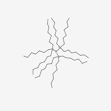 CCCCCCC[Si](CCCCCCC)(CCCCCCC)P([Si](CCCCCCC)(CCCCCCC)CCCCCCC)[Si](CCCCCCC)(CCCCCCC)CCCCCCC